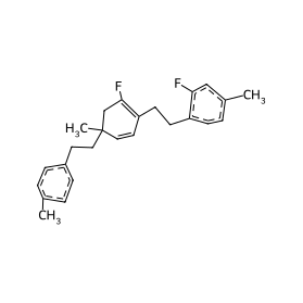 Cc1ccc(CCC2(C)C=CC(CCc3ccc(C)cc3F)=C(F)C2)cc1